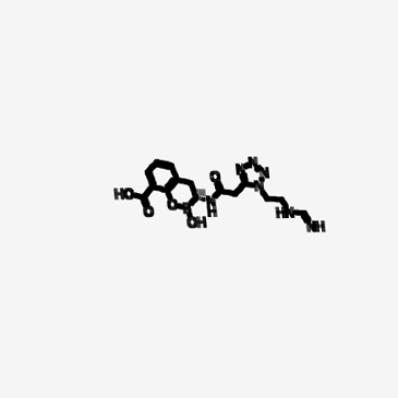 N=CNCCn1nnnc1CC(=O)N[C@H]1Cc2cccc(C(=O)O)c2OB1O